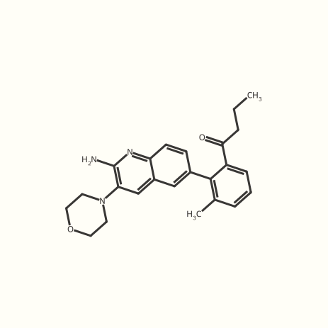 CCCC(=O)c1cccc(C)c1-c1ccc2nc(N)c(N3CCOCC3)cc2c1